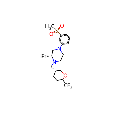 CC(C)[C@H]1CN(c2cccc(S(C)(=O)=O)c2)CCN1C[C@H]1CC[C@H](C(F)(F)F)OC1